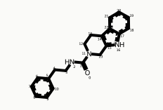 O=C(NCCc1ccccc1)N1CCc2c([nH]c3ccccc23)C1